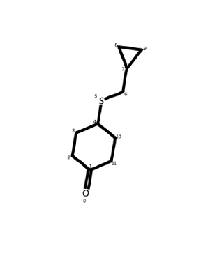 O=C1CCC(SCC2CC2)CC1